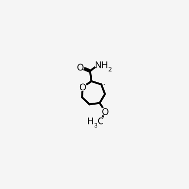 COC1C[CH]C(C(N)=O)OCC1